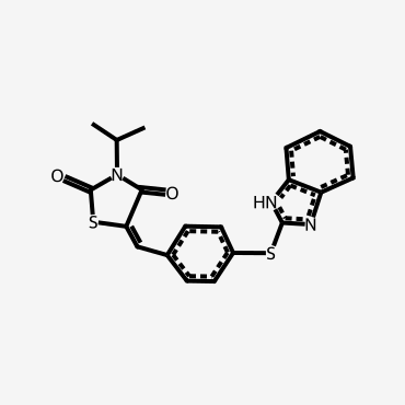 CC(C)N1C(=O)SC(=Cc2ccc(Sc3nc4ccccc4[nH]3)cc2)C1=O